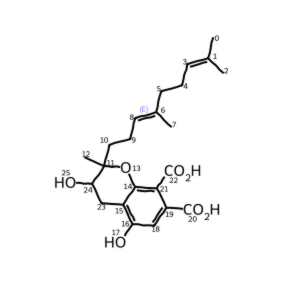 CC(C)=CCC/C(C)=C/CCC1(C)Oc2c(c(O)cc(C(=O)O)c2C(=O)O)CC1O